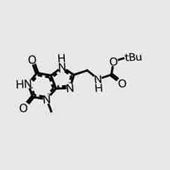 Cn1c(=O)[nH]c(=O)c2[nH]c(CNC(=O)OC(C)(C)C)nc21